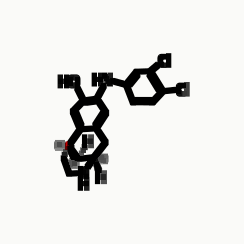 Oc1cc2c(cc1Nc1ccc(Cl)c(Cl)c1)C[C@@H]1NCC[C@]23CCCC[C@H]13